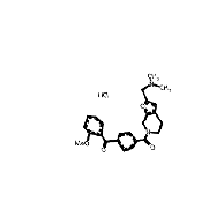 COc1ccccc1C(=O)c1ccc(C(=O)N2CCc3cc(CN(C)C)oc3C2)cc1.Cl